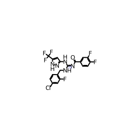 O=C(/N=C(/NCc1ccc(Cl)cc1F)Nc1cc(C(F)(F)F)[nH]n1)c1ccc(F)c(F)c1